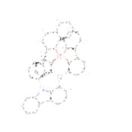 c1ccc(-n2c3ccccc3c3cccc(N(c4cccc5c4oc4ccccc45)c4cccc5c4oc4c6ccccc6ccc54)c32)cc1